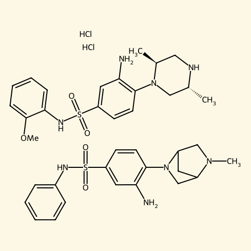 CN1CC2CC1CN2c1ccc(S(=O)(=O)Nc2ccccc2)cc1N.COc1ccccc1NS(=O)(=O)c1ccc(N2C[C@@H](C)NC[C@@H]2C)c(N)c1.Cl.Cl